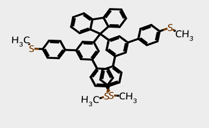 CSc1ccc(-c2cc(-c3ccc(SC)cc3)cc(C3(c4cc(-c5ccc(SC)cc5)cc(-c5ccc(SC)cc5)c4)c4ccccc4-c4ccccc43)c2)cc1